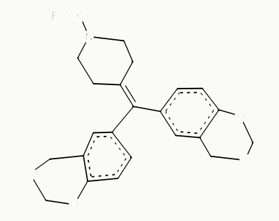 CCOC(=O)N1CCC(=C(c2ccc3c(c2)COCO3)c2ccc3c(c2)COCO3)CC1